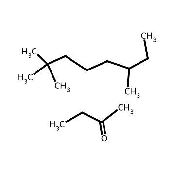 CCC(C)=O.CCC(C)CCCC(C)(C)C